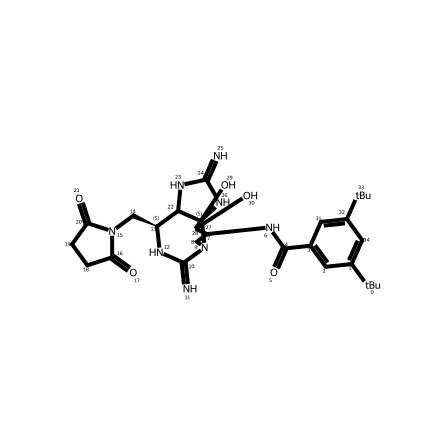 CC(C)(C)c1cc(C(=O)NC2CN3C(=N)N[C@@H](CN4C(=O)CCC4=O)C4NC(=N)N[C@@]43C2(O)O)cc(C(C)(C)C)c1